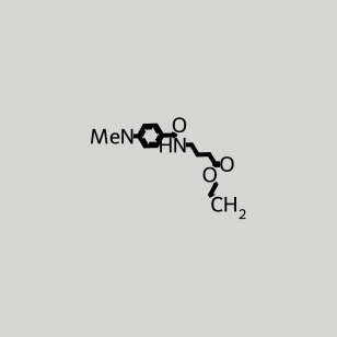 C=CCOC(=O)CCCNC(=O)c1ccc(NC)cc1